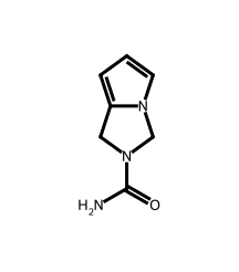 NC(=O)N1Cc2cccn2C1